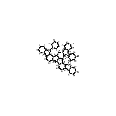 c1ccc(-n2c3ccccc3c3ccc4c(c5cc6c7ccccc7oc6c6c7c8c(ccc7n4c56)c4ccccc4n8-c4ccccc4)c32)cc1